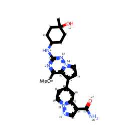 COc1nc(NC2CCC(C)(O)CC2)nn2ccc(-c3ccn4ncc(C(N)=O)c4c3)c12